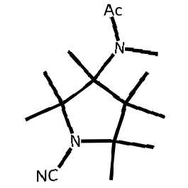 CC(=O)N(C)C1(C)C(C)(C)N(C#N)C(C)(C)C1(C)C